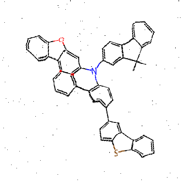 CC1(C)c2ccccc2-c2ccc(N(c3ccc4c(c3)oc3ccccc34)c3ccc(-c4ccc5sc6ccccc6c5c4)cc3-c3ccccc3)cc21